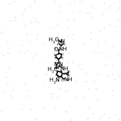 Cn1cc(NC(=O)c2ccc(-c3nc(Nc4ccc(N)c(C=N)c4C4CC4)n(C)n3)cc2)cn1